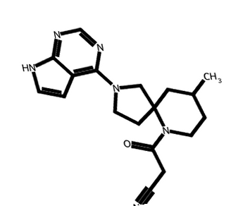 CC1CCN(C(=O)CC#N)C2(CCN(c3ncnc4[nH]ccc34)C2)C1